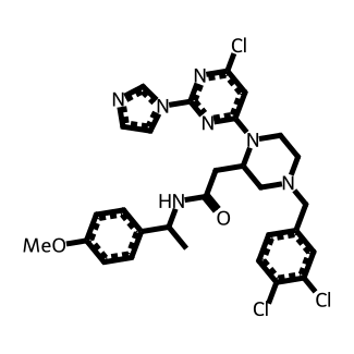 COc1ccc(C(C)NC(=O)CC2CN(Cc3ccc(Cl)c(Cl)c3)CCN2c2cc(Cl)nc(-n3ccnc3)n2)cc1